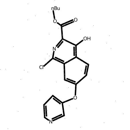 CCCCOC(=O)c1nc(Cl)c2cc(Oc3cccnc3)ccc2c1O